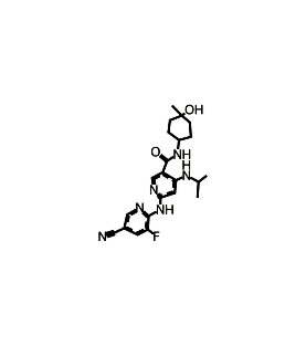 CC(C)Nc1cc(Nc2ncc(C#N)cc2F)ncc1C(=O)NC1CCC(C)(O)CC1